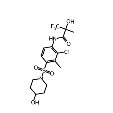 Cc1c(S(=O)(=O)N2CCC(O)CC2)ccc(NC(=O)C(C)(O)C(F)(F)F)c1Cl